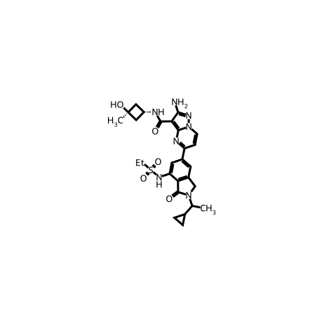 CCS(=O)(=O)Nc1cc(-c2ccn3nc(N)c(C(=O)N[C@H]4C[C@](C)(O)C4)c3n2)cc2c1C(=O)N(C(C)C1CC1)C2